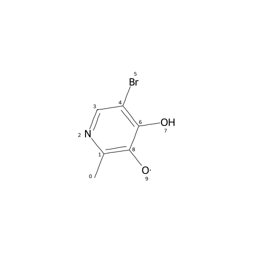 Cc1ncc(Br)c(O)c1[O]